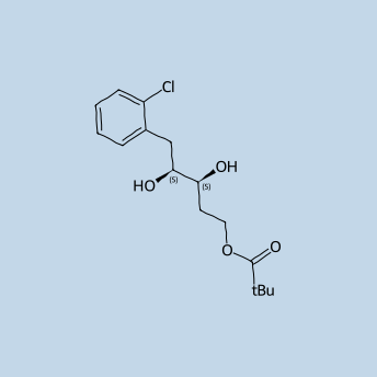 CC(C)(C)C(=O)OCC[C@H](O)[C@@H](O)Cc1ccccc1Cl